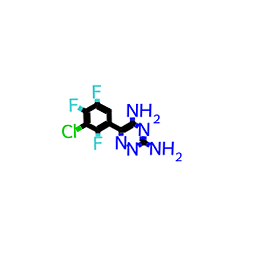 Nc1nnc(-c2cc(F)c(F)c(Cl)c2F)c(N)n1